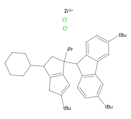 CC(C)C1(C2c3ccc(C(C)(C)C)cc3-c3cc(C(C)(C)C)ccc32)CC(C2CCCCC2)C2=C1C=C(C(C)(C)C)C2.[Cl-].[Cl-].[Zr+2]